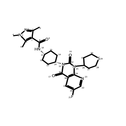 Cc1nn(C)c(C)c1C(=O)N[C@H]1CC[C@@H](n2c(=O)c3cc(F)cnc3n(C3CCSCC3)c2=O)CC1